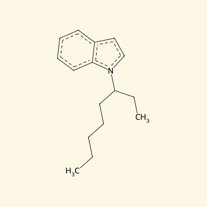 CCCCCC(CC)n1ccc2ccccc21